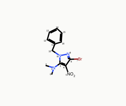 CN(C)c1c([N+](=O)[O-])c(Br)nn1Cc1ccccc1